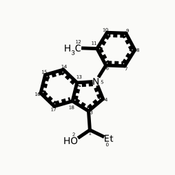 CCC(O)c1cn(-c2ccccc2C)c2ccccc12